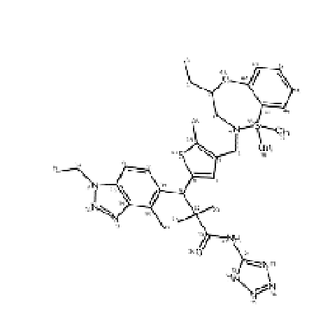 CCC1CN(Cc2cc(C(c3ccc4c(nnn4CC)c3C)C(C)(C)C(=O)Nc3nnn[nH]3)sc2C)S(O)(O)c2ccccc2O1